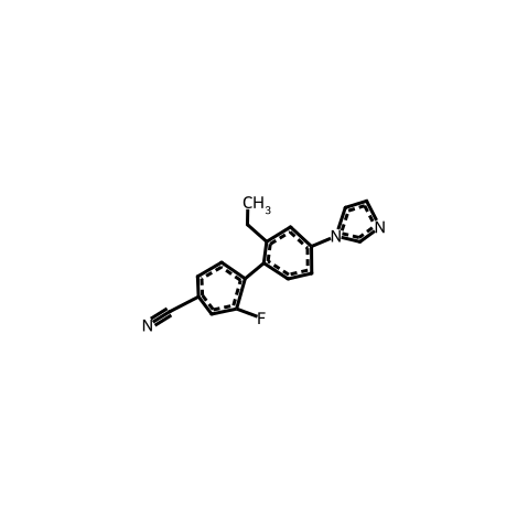 CCc1cc(-n2ccnc2)ccc1-c1ccc(C#N)cc1F